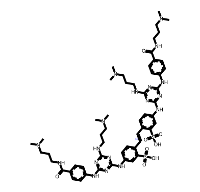 CN(C)CCCNC(=O)c1ccc(Nc2nc(NCCCN(C)C)nc(Nc3ccc(/C=C/c4ccc(Nc5nc(NCCCN(C)C)nc(Nc6ccc(C(=O)NCCCN(C)C)cc6)n5)cc4S(=O)(=O)O)c(S(=O)(=O)O)c3)n2)cc1